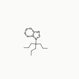 CCC[Si](CCC)(CCC)n1cnc2ccccc21